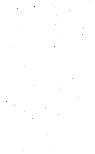 O=CCC(C(=O)N1CCCCCC1)c1ccccc1